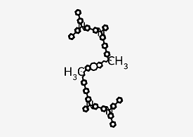 C[C@@H](CCC1=CC2CCc3ccc([C@@H](C)CCc4ccc(-c5ccc(-c6ccc(N(c7ccccc7)c7ccc(-c8ccc(N(c9ccc(-c%10ccccc%10)cc9)c9ccc(-c%10ccccc%10)cc9)cc8)cc7)cc6)cc5)cc4)cc3CCC2C=C1)c1ccc(-c2ccc(-c3ccc(N(c4ccccc4)c4ccc(-c5ccc(N(c6ccc(-c7ccccc7)cc6)c6ccc(-c7ccccc7)cc6)cc5)cc4)cc3)cc2)cc1